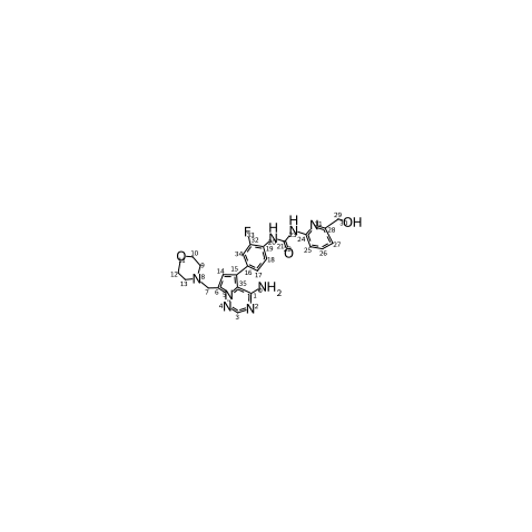 Nc1ncnn2c(CN3CCOCC3)cc(-c3ccc(NC(=O)Nc4cccc(CO)n4)c(F)c3)c12